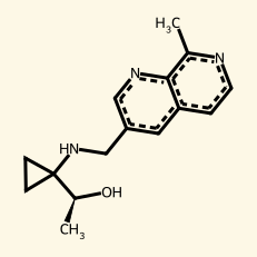 Cc1nccc2cc(CNC3([C@H](C)O)CC3)cnc12